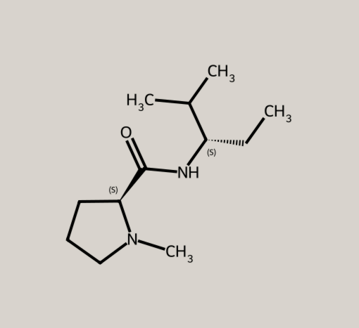 CC[C@H](NC(=O)[C@@H]1CCCN1C)C(C)C